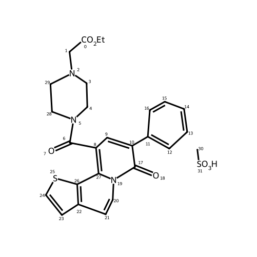 CCOC(=O)CN1CCN(C(=O)c2cc(-c3ccccc3)c(=O)n3ccc4ccsc4c23)CC1.CS(=O)(=O)O